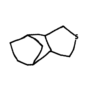 C1CC2CC1C1CSCC21